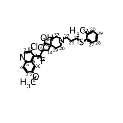 COc1ccc2ncc(Cl)c([C@H](F)CCC3(C(=O)O)CCN(CCCSc4ccccc4C)CC3)c2c1